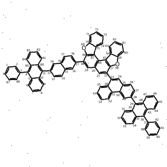 c1ccc(-c2c3ccccc3c(-c3ccc4cc(-c5cc6cc(-c7cc8ccc(-c9c%10ccccc%10c(-c%10ccccc%10)c%10ccccc9%10)cc8c8ccccc78)c7oc8ccccc8c7c6c6c5oc5ccccc56)ccc4c3)c3ccccc23)cc1